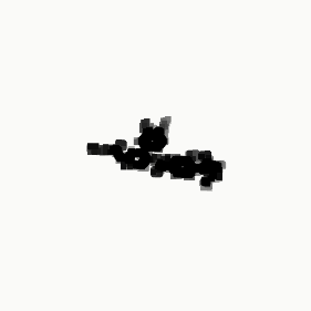 CNC(=O)CC1C[C@@H](c2ccc(F)c(F)c2)[C@H](NC(=O)c2ccc(-c3c(Cl)cnn3C)c(Cl)c2)CN1